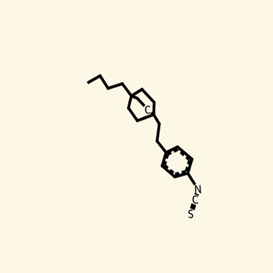 CCCCC12CCC(CCc3ccc(N=C=S)cc3)(CC1)CC2